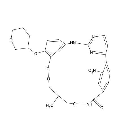 CC1CCNC(=O)c2ccc(c([N+](=O)[O-])c2)-c2ccnc(n2)Nc2ccc(OC3CCCOC3)c(c2)COC1